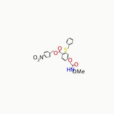 CONC(=O)COc1ccc(C(=O)OCc2ccc([N+](=O)[O-])cc2)c(SCc2ccccc2)c1